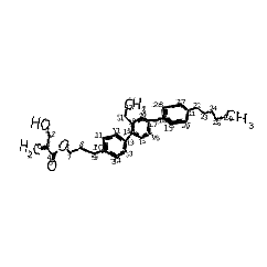 C=C(CO)C(=O)OCCCc1ccc(-c2ccc(-c3ccc(CCCCC)cc3)cc2CC)cc1